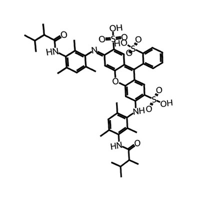 Cc1cc(C)c(NC(=O)C(C)C(C)C)c(C)c1/N=c1\cc2oc3cc(Nc4c(C)cc(C)c(NC(=O)C(C)C(C)C)c4C)c(S(=O)(=O)O)cc3c(-c3ccccc3S(=O)(=O)O)c-2cc1S(=O)(=O)O